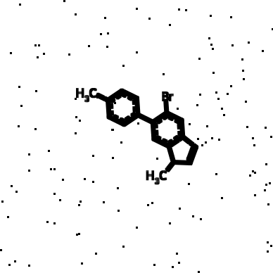 Cc1ccc(-c2cc3c(cc2Br)C=CC3C)cc1